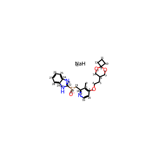 Cc1c(OCCC2COC3(CCC3)OC2)ccnc1C[S+]([O-])c1nc2ccccc2[nH]1.[NaH]